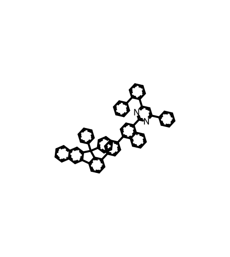 c1ccc(-c2cc(-c3ccccc3-c3ccccc3)nc(-c3ccc(-c4ccc(-c5cccc6c5C(c5ccccc5)(c5ccccc5)c5cc7ccccc7cc5-6)cc4)c4ccccc34)n2)cc1